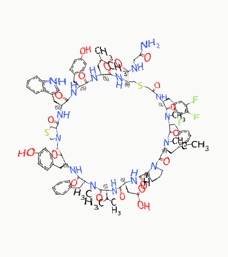 CCCC[C@H]1C(=O)N2CCC[C@@H]2C(=O)N[C@@H](CC(=O)O)C(=O)N[C@@H](C(C)C)C(=O)N(C)C(Cc2ccccc2)C(=O)N[C@@H](Cc2ccc(O)cc2)C2OC2N2CSCC2C(=O)N[C@@H](Cc2c[nH]c3ccccc23)C(=O)N[C@@H](Cc2ccc(O)cc2)C(=O)N[C@@H](CC(C)C)C(=O)N[C@H](C(=O)NCC(N)=O)CSCC(=O)N[C@@H](Cc2cc(F)c(F)c(F)c2)C(=O)N(C)C(Cc2ccccc2)C(=O)N1C